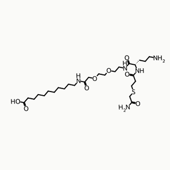 NCCC[C@H](NC(=O)CCSCC(N)=O)C(=O)NCCOCCOCC(=O)NCCCCCCCCCCC(=O)O